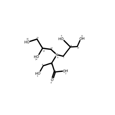 O=C(O)C(CO)N(CC(O)CO)CC(O)CO